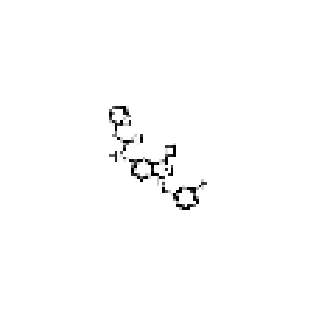 O=C(Cc1cccs1)Nc1ccc2c(c1)c(Cl)nn2Cc1cccc(F)c1